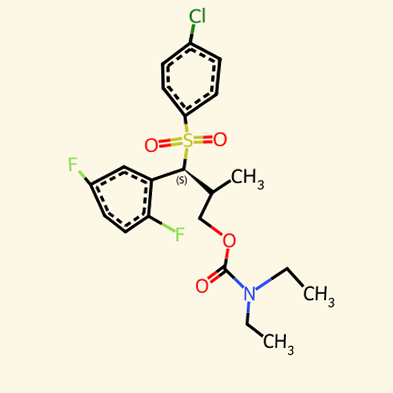 CCN(CC)C(=O)OCC(C)[C@@H](c1cc(F)ccc1F)S(=O)(=O)c1ccc(Cl)cc1